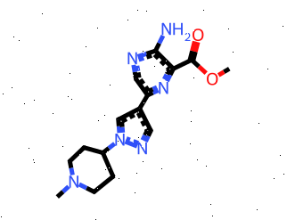 COC(=O)c1nc(-c2cnn(C3CCN(C)CC3)c2)cnc1N